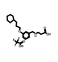 O=C(O)C(F)(F)F.O=C(O)CCNCc1cccc(OCCCC2CCCCC2)c1